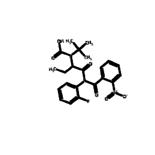 CCC(C(=O)N(C(=O)c1ccccc1[N+](=O)[O-])c1ccccc1F)N(C(=O)O)C(C)(C)C